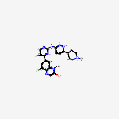 CC(C)n1c(=O)cnc2c(F)cc(-c3nc(Nc4ccc(C5CCN(C)CC5)nn4)ncc3F)cc21